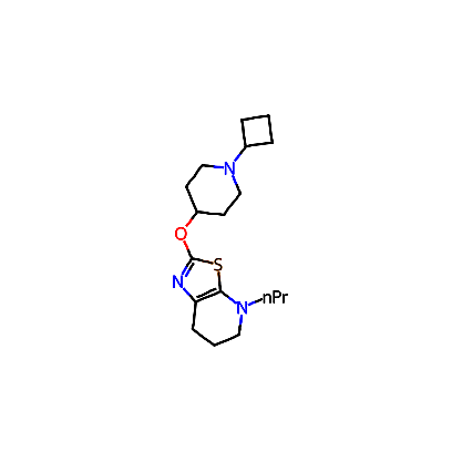 CCCN1CCCc2nc(OC3CCN(C4CCC4)CC3)sc21